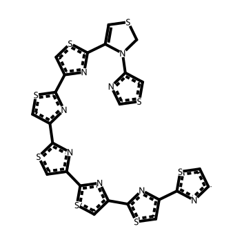 [c]1csc(-c2csc(-c3csc(-c4csc(-c5csc(-c6csc(C7=CSCN7c7cscn7)n6)n5)n4)n3)n2)n1